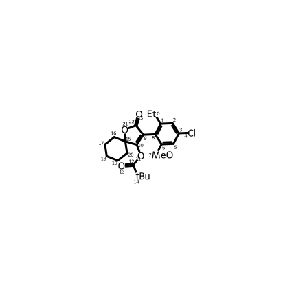 CCc1cc(Cl)cc(OC)c1C1=C(OC(=O)C(C)(C)C)C2(CCCCC2)OC1=O